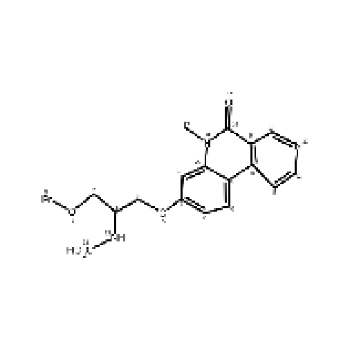 CC(C)OCC(COc1ccc2c3ccncc3c(=O)n(C)c2c1)NC(=O)O